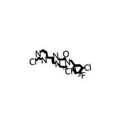 C[C@H]1Cn2cc(-c3ccnc(Cl)n3)nc2C(=O)N1Cc1ccc(F)c(Cl)c1